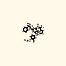 CCC(Nc1nc(NCC(C)C2CCCCC2)nc(Nc2ccc(OC)c(F)c2)n1)C1CCCN1